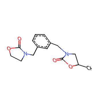 CC1CN(Cc2cccc(CN3CCOC3=O)c2)C(=O)O1